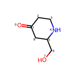 O=C1CCNC(CO)C1